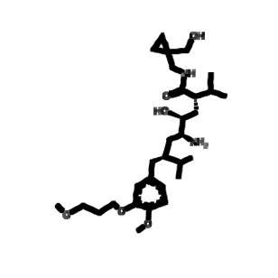 COCCCOc1cc(C[C@@H](C[C@H](N)[C@@H](O)C[C@H](C(=O)NCC2(CO)CC2)C(C)C)C(C)C)ccc1OC